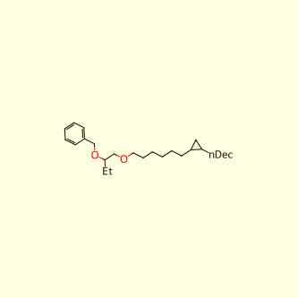 CCCCCCCCCCC1CC1CCCCCCOCC(CC)OCc1ccccc1